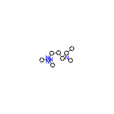 c1ccc(-c2ccc3c4c(-c5cccc(-c6cccc(-c7nc(-c8ccccc8)nc(-c8ccccc8)n7)c6)c5)cccc4n(-c4ccccc4)c3c2)cc1